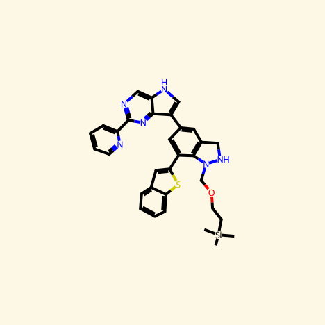 C[Si](C)(C)CCOCN1NCc2cc(-c3c[nH]c4cnc(-c5ccccn5)nc34)cc(-c3cc4ccccc4s3)c21